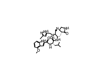 COc1cccc2[nH]c(C(=O)N[C@@H](CC(C)C)C(=O)N[C@@H](C[C@@H]3CCNC3=O)C(C#N)NCc3cc(C)n[nH]3)cc12